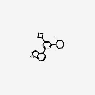 C[C@@H]1COCCN1c1cc(C2CCC2)nc(-c2ccnc3[nH]ccc23)n1